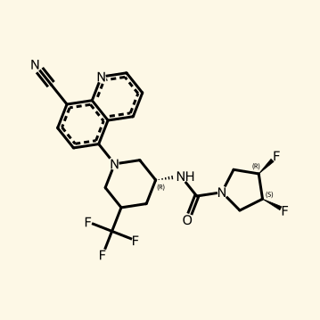 N#Cc1ccc(N2CC(C(F)(F)F)C[C@@H](NC(=O)N3C[C@@H](F)[C@@H](F)C3)C2)c2cccnc12